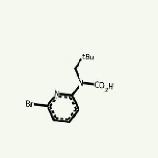 CC(C)(C)CN(C(=O)O)c1cccc(Br)n1